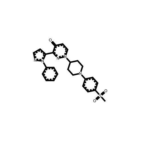 CS(=O)(=O)c1ccc(N2CCC(n3ccc(=O)c(-c4ccnn4-c4ccccc4)n3)CC2)cc1